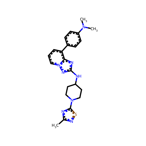 Cc1nsc(N2CCC(Nc3nc4c(-c5ccc(N(C)C)cc5)cccn4n3)CC2)n1